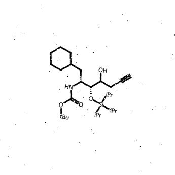 C#CCC(O)[C@H](O[Si](C(C)C)(C(C)C)C(C)C)[C@H](CC1CCCCC1)NC(=O)OC(C)(C)C